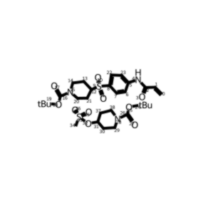 C=CC(=O)Nc1ccc(S(=O)(=O)C2CCN(C(=O)OC(C)(C)C)CC2)cc1.CC(C)(C)OC(=O)N1CCC(OS(C)(=O)=O)CC1